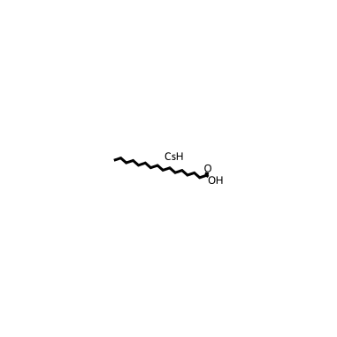 CCCCCCCCCCCCCCCC(=O)O.[CsH]